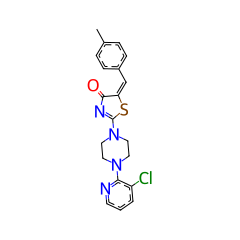 Cc1ccc(C=C2SC(N3CCN(c4ncccc4Cl)CC3)=NC2=O)cc1